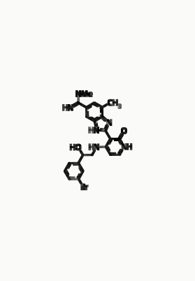 CNC(=N)c1cc(C)c2nc(-c3c(NCC(O)c4cccc(Br)c4)cc[nH]c3=O)[nH]c2c1